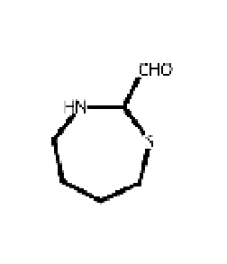 O=CC1NCCCCS1